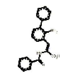 Nc1c(/C=C(\NC(=O)c2ccccc2)C(=O)O)cccc1-c1ccccc1